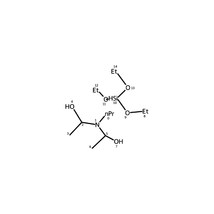 CCCN(C(C)O)C(C)O.CCO[SiH](OCC)OCC